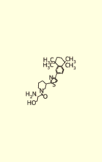 CC1(C)CCC(C)(C)c2cc(-c3csc(C4CCCN(C(=O)[C@@H](N)CO)C4)n3)ccc21